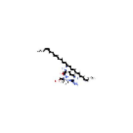 CCCCCCCC/C=C\CCCCCCCCC(CCCCCCC/C=C\CCCCCCCC)N[C@@H](CCCNC(=N)N)C(=O)N[C@@H](CO)C(=O)O